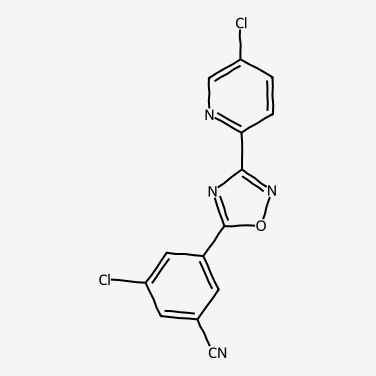 N#Cc1cc(Cl)cc(-c2nc(-c3ccc(Cl)cn3)no2)c1